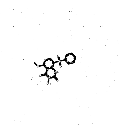 COc1ncc(S(=O)(=O)c2ccccc2)c2[nH]c(=O)n(O)c(=O)c12